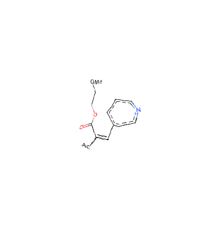 COCCOC(=O)C(=Cc1cccnc1)C(C)=O